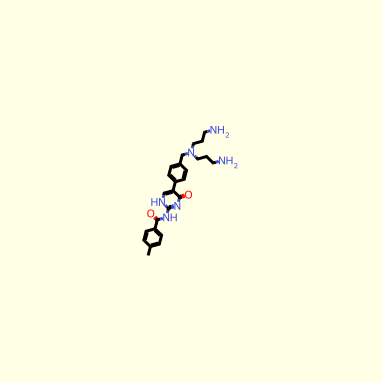 Cc1ccc(C(=O)Nc2nc(=O)c(-c3ccc(CN(CCCN)CCCN)cc3)c[nH]2)cc1